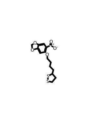 O=[N+]([O-])c1cc2c(cc1OCCCCC1CCSS1)OCO2